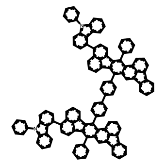 c1ccc(-c2c3cc4c5ccccc5c5cccc(c3c(-c3ccc(-c6ccc(-c7c8cc9c%10ccccc%10c%10cccc(c8c(-c8ccccc8)c8c%11ccc(-c%12cccc%13c%12c%12ccccc%12n%13-c%12ccccc%12)c%12cccc(c78)c%12%11)c%109)cc6)cc3)c3c6cccc7c(-c8cccc9c8c8ccccc8n9-c8ccccc8)ccc(c23)c76)c54)cc1